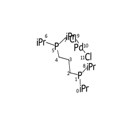 CC(C)P(CCCP(C(C)C)C(C)C)C(C)C.[Cl][Pd][Cl]